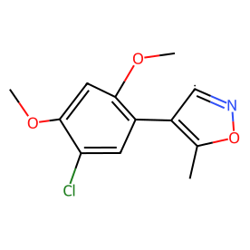 COc1cc(OC)c(-c2[c]noc2C)cc1Cl